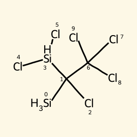 [SiH3]C(Cl)([SiH](Cl)Cl)C(Cl)(Cl)Cl